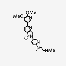 CNCCN(C)c1ccc(N2Cc3nc(-c4cnc(OC)c(OC)c4)ccc3C2=O)cn1